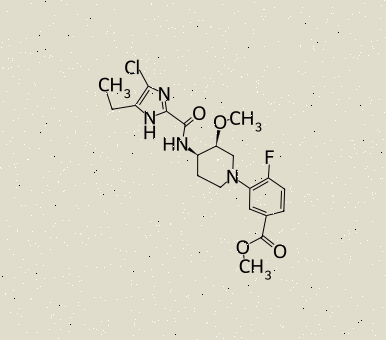 CCc1[nH]c(C(=O)N[C@@H]2CCN(c3cc(C(=O)OC)ccc3F)C[C@@H]2OC)nc1Cl